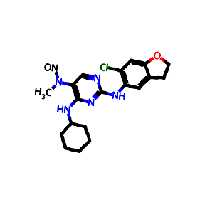 CN(N=O)c1cnc(Nc2cc3c(cc2Cl)OCC3)nc1NC1CCCCC1